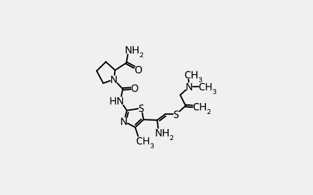 C=C(CN(C)C)S/C=C(\N)c1sc(NC(=O)N2CCCC2C(N)=O)nc1C